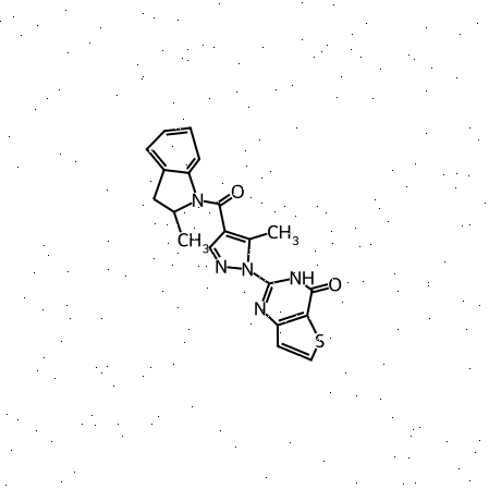 Cc1c(C(=O)N2c3ccccc3CC2C)cnn1-c1nc2ccsc2c(=O)[nH]1